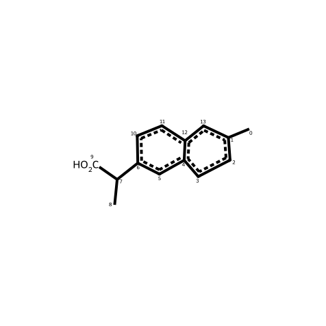 Cc1ccc2cc(C(C)C(=O)O)ccc2c1